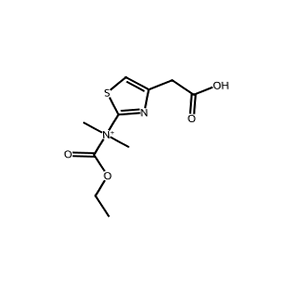 CCOC(=O)[N+](C)(C)c1nc(CC(=O)O)cs1